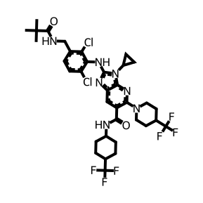 CC(C)(C)C(=O)NCc1ccc(Cl)c(Nc2nc3cc(C(=O)NC4CCC(C(F)(F)F)CC4)c(N4CCC(C(F)(F)F)CC4)nc3n2C2CC2)c1Cl